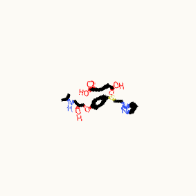 CC(C)NCC(O)COc1ccc(SCCn2cccn2)cc1.O=C(O)C=CC(=O)O